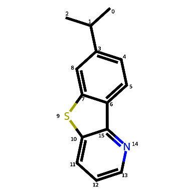 CC(C)c1ccc2c(c1)sc1cccnc12